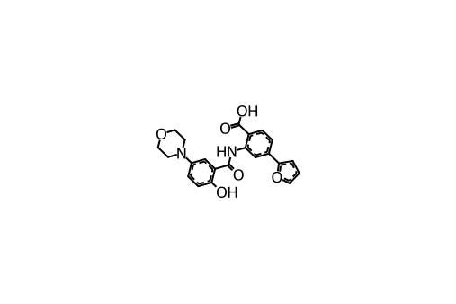 O=C(Nc1cc(-c2ccco2)ccc1C(=O)O)c1cc(N2CCOCC2)ccc1O